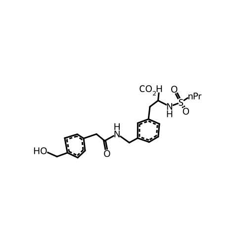 CCCS(=O)(=O)NC(Cc1cccc(CNC(=O)Cc2ccc(CO)cc2)c1)C(=O)O